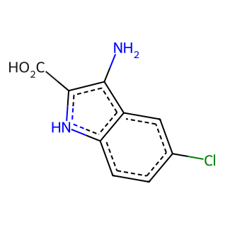 Nc1c(C(=O)O)[nH]c2ccc(Cl)cc12